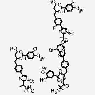 CC(C)Oc1ccc(C(=O)NC(CNC(=O)C(C)(C)N)Cc2ccc(-c3cn4cccc(Br)c4n3)cc2)cc1C#N.CCn1cc(-c2ccc(CC(CCO)NC(=O)c3ccc(OC(C)C)c(Cl)c3)cc2)nc1C(C)NC=O.CCn1cc(-c2ccc(CC(CCO)NC(=O)c3ccc(OC(C)C)c(Cl)c3)cc2F)nc1C(C)(C)O